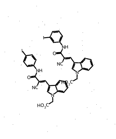 N#C/C(=C\c1cn(CC(=O)O)c2ccccc12)C(=O)Nc1ccc(I)cc1.N#C/C(=C\c1cn(CC(=O)O)c2ccccc12)C(=O)Nc1cccc(I)c1